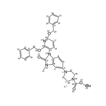 C[C@@H]1CN(c2ccc3c(c2)n(C)c(=O)n3-c2ccc(OCc3ccccc3)nc2OCc2ccccc2)CCN1C(=O)OC(C)(C)C